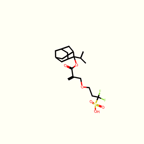 C=C(COCCC(F)(F)S(=O)(=O)O)C(=O)OC1(C(C)C)C2CC3CC(C2)CC1C3